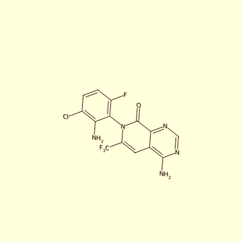 Nc1c(Cl)ccc(F)c1-n1c(C(F)(F)F)cc2c(N)ncnc2c1=O